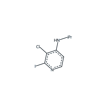 CC(C)Nc1ccnc(I)c1Cl